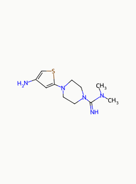 CN(C)C(=N)N1CCN(c2cc(N)cs2)CC1